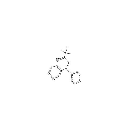 CC(C)(C)C(=O)CC(c1ccccc1)c1cccnc1